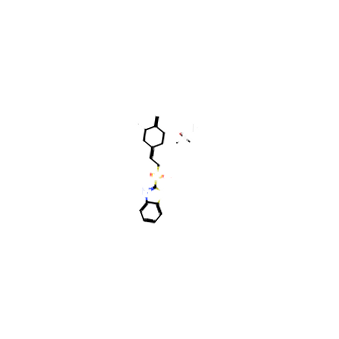 C=C1[C@H](C)C/C(=C/CS(=O)(=O)c2nc3ccccc3s2)C[C@H]1O[Si](C)(C)C(C)(C)C